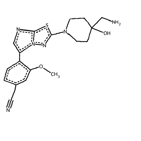 COc1cc(C#N)ccc1-c1cnc2sc(N3CCC(O)(CN)CC3)nn12